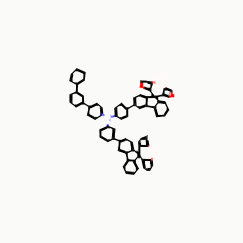 c1ccc(-c2cccc(-c3ccc(N(c4ccc(-c5ccc6c(c5)-c5ccccc5C65c6ccccc6Oc6ccccc65)cc4)c4cccc(-c5ccc6c(c5)-c5ccccc5C65c6ccccc6Oc6ccccc65)c4)cc3)c2)cc1